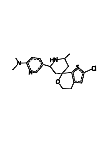 CC1CC2(CC(c3ccc(N(C)C)nc3)N1)OCCc1cc(Cl)sc12